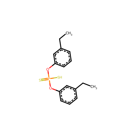 CCc1cccc(OP(=S)(S)Oc2cccc(CC)c2)c1